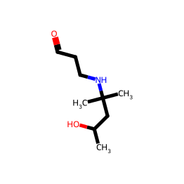 CC(O)CC(C)(C)NCCC=O